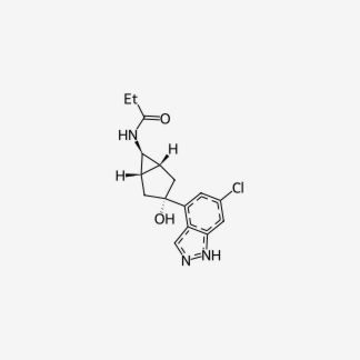 CCC(=O)N[C@H]1[C@@H]2C[C@@](O)(c3cc(Cl)cc4[nH]ncc34)C[C@@H]21